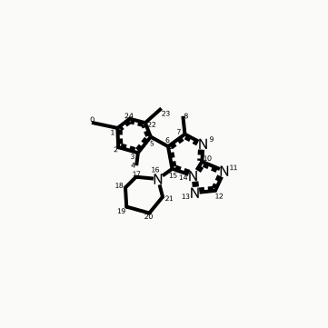 Cc1cc(C)c(-c2c(C)nc3ncnn3c2N2CCCCC2)c(C)c1